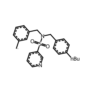 [CH2]c1cccc(CN(Cc2ccc(CCCC)cc2)S(=O)(=O)c2cccnc2)c1